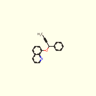 CC#CC(Oc1cccc2cccnc12)c1ccccc1